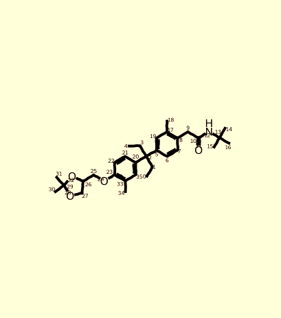 CCC(CC)(c1ccc(CC(=O)NC(C)(C)C)c(C)c1)c1ccc(OCC2COC(C)(C)O2)c(C)c1